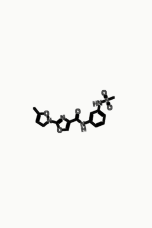 CC1=CCN(c2nc(C(=O)Nc3cccc(NS(C)(=O)=O)c3)co2)O1